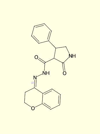 O=C1NCC(c2ccccc2)C1C(=O)N/N=C1/CCOc2ccccc21